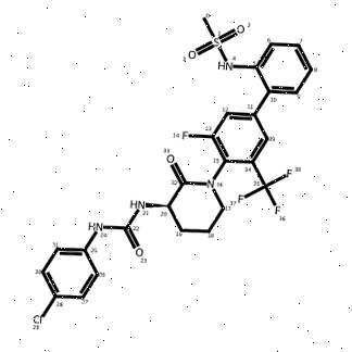 CS(=O)(=O)Nc1ccccc1-c1cc(F)c(N2CCC[C@@H](NC(=O)Nc3ccc(Cl)cc3)C2=O)c(C(F)(F)F)c1